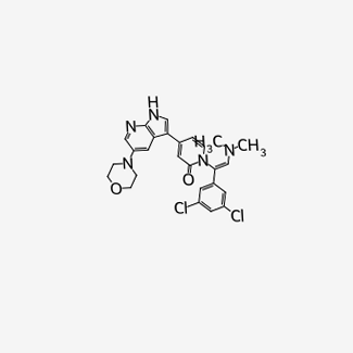 CN(C)/C=C(/c1cc(Cl)cc(Cl)c1)n1ccc(-c2c[nH]c3ncc(N4CCOCC4)cc23)cc1=O